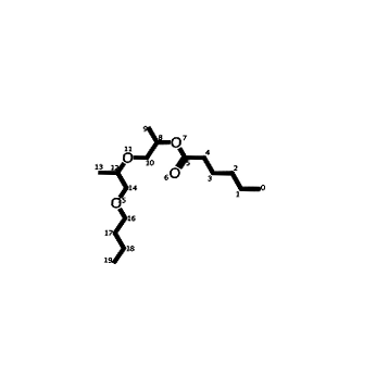 CCCCCC(=O)OC(C)COC(C)COCCCC